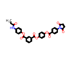 CCC(=O)Nc1ccc(OC(=O)c2cccc(C(=O)Oc3ccc(OC(=O)c4ccc(N5C(=O)C=CC5=O)cc4)cc3)c2)cc1